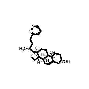 C[C@H](CCc1cccnn1)[C@H]1CC[C@H]2[C@@H]3CC=C4C[C@@H](O)CC[C@]4(C)[C@H]3CC[C@]12C